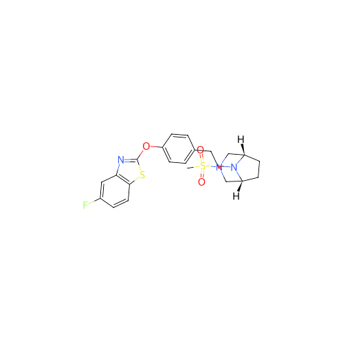 CS(=O)(=O)N1C[C@H]2CC[C@@H](C1)N2CCc1ccc(Oc2nc3cc(F)ccc3s2)cc1